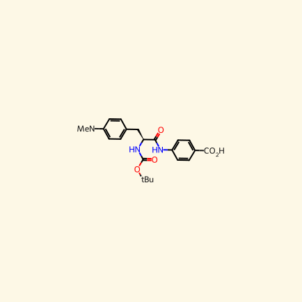 CNc1ccc(C[C@H](NC(=O)OC(C)(C)C)C(=O)Nc2ccc(C(=O)O)cc2)cc1